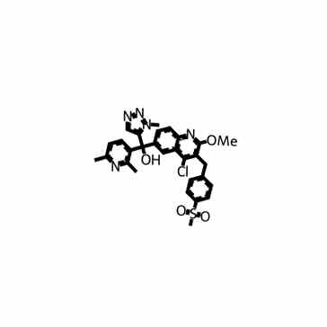 COc1nc2ccc(C(O)(c3ccc(C)nc3C)c3cnnn3C)cc2c(Cl)c1Cc1ccc(S(C)(=O)=O)cc1